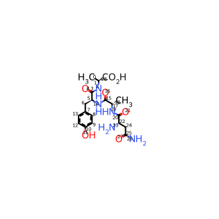 C[C@H](NC(=O)[C@H](Cc1ccc(O)cc1)NC(=O)[C@H](C)NC(=O)[C@@H](N)CC(N)=O)C(=O)O